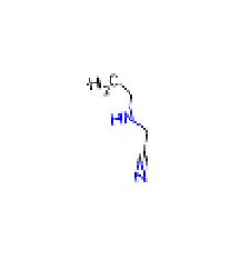 [CH2]CNCC#N